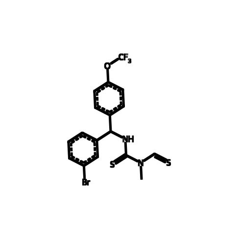 CN(C=S)C(=S)NC(c1ccc(OC(F)(F)F)cc1)c1cccc(Br)c1